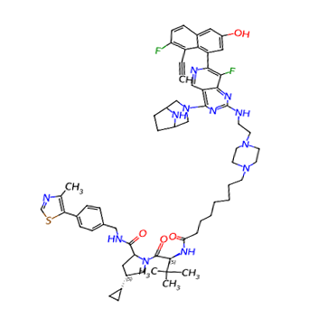 C#Cc1c(F)ccc2cc(O)cc(-c3ncc4c(N5CC6CCC(C5)N6)nc(NCCN5CCN(CCCCCCCC(=O)N[C@H](C(=O)N6C[C@H](C7CC7)CC6C(=O)NCc6ccc(-c7scnc7C)cc6)C(C)(C)C)CC5)nc4c3F)c12